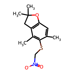 Cc1cc2c(c(C)c1SC[N+](=O)[O-])CC(C)(C)O2